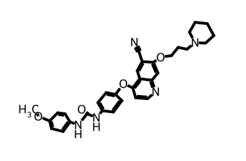 COc1ccc(NC(=O)Nc2ccc(Oc3ccnc4cc(OCCCN5CCCCC5)c(C#N)cc34)cc2)cc1